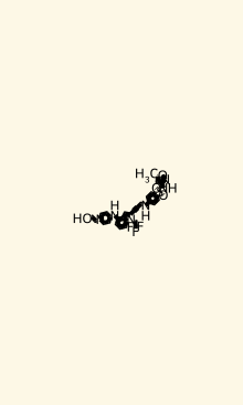 Cc1cc(NS(=O)(=O)c2ccc(NCC#Cc3cc4c(NC5CCN(CCO)CC5)cccc4n3CC(F)(F)F)cc2)no1